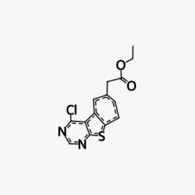 CCOC(=O)Cc1ccc2sc3ncnc(Cl)c3c2c1